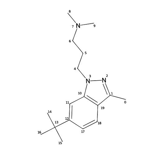 Cc1nn(CCCN(C)C)c2cc(C(C)(C)C)ccc12